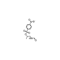 CC(CNC=O)OS(=O)(=O)c1ccc([N+](=O)[O-])cc1